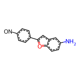 Nc1ccc2oc(-c3ccc(N=O)cc3)cc2c1